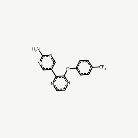 Nc1ncc(-c2nccnc2Oc2ccc(C(F)(F)F)cc2)cn1